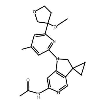 COC1(c2cc(C)cc(N3CC4(CC4)c4cnc(NC(C)=O)cc43)n2)CCOC1